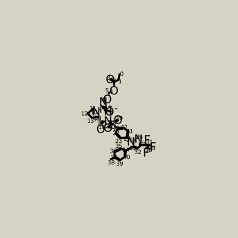 CCC(=O)OCON=[N+]([O-])N1CCC[C@H]1C(=O)NS(=O)(=O)c1ccc(-n2nc(C(F)(F)F)cc2-c2ccc(C)cc2)cc1